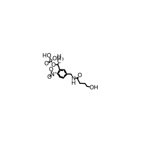 CC(OP(=O)(O)O)c1cc(CNC(=O)CCCO)ccc1[N+](=O)[O-]